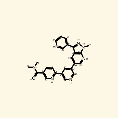 CN(C)C(=O)c1ccc(-c2cncc(-c3cnc4c(c3)c(-c3cccnc3)nn4C)c2)nc1